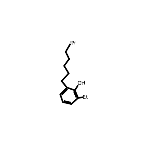 CCc1cccc(CCCCCC(C)C)c1O